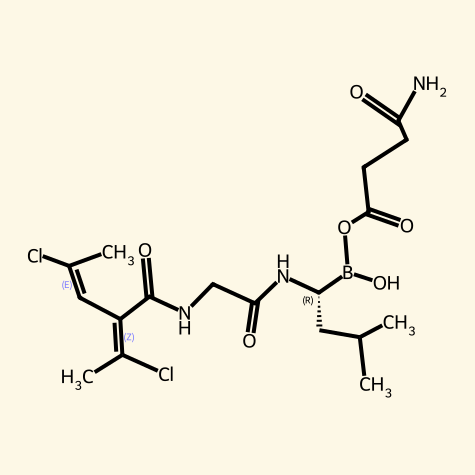 C/C(Cl)=C(\C=C(/C)Cl)C(=O)NCC(=O)N[C@@H](CC(C)C)B(O)OC(=O)CCC(N)=O